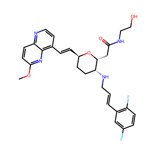 COc1ccc2nccc(/C=C/[C@@H]3CC[C@@H](NC/C=C/c4cc(F)ccc4F)[C@@H](CC(=O)NCCO)O3)c2n1